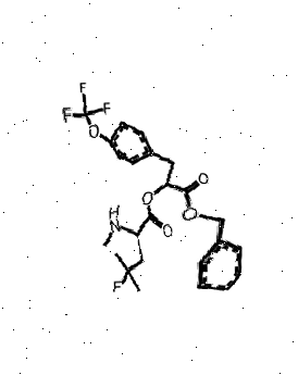 CN[C@H](CC(C)(C)F)C(=O)OC(Cc1ccc(OC(F)(F)F)cc1)C(=O)OCc1ccccc1